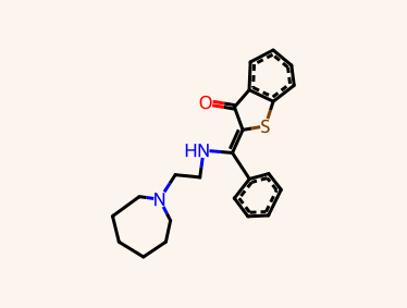 O=C1C(=C(NCCN2CCCCCC2)c2ccccc2)Sc2ccccc21